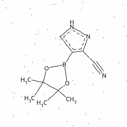 CC1(C)OB(c2c[nH]nc2C#N)OC1(C)C